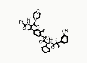 CCC(=O)NC(C(=O)N1CCOCC1)C(C)c1ccc(NC(=O)C(NC(=O)C(F)(F)c2cccc(C#N)c2)C2CCCCC2)c(F)c1